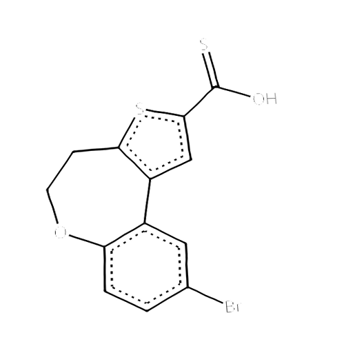 OC(=S)c1cc2c(s1)CCOc1ccc(Br)cc1-2